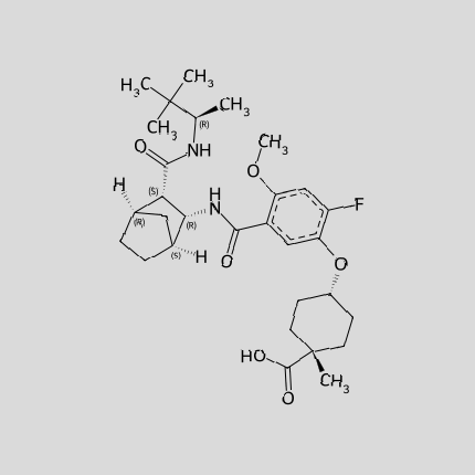 COc1cc(F)c(O[C@H]2CC[C@@](C)(C(=O)O)CC2)cc1C(=O)N[C@@H]1[C@H]2CC[C@H](C2)[C@@H]1C(=O)N[C@H](C)C(C)(C)C